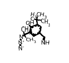 CC(C)(C)c1cc(C=N)cc(C(C)(C)N=[N+]=[N-])c1O